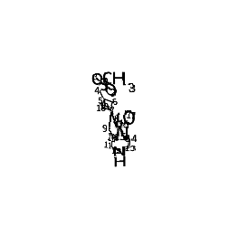 CS(=O)(=O)CC12CC(N3CC4CNCCN4C3=O)(C1)C2